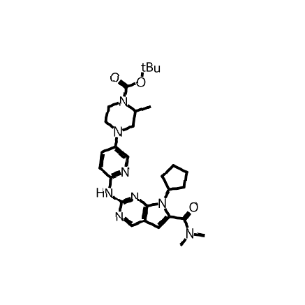 CC1CN(c2ccc(Nc3ncc4cc(C(=O)N(C)C)n(C5CCCC5)c4n3)nc2)CCN1C(=O)OC(C)(C)C